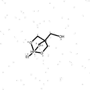 CC[PH]12OCC(CO)(CO1)CO2